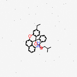 CCc1ccc2c(c1)Oc1ccc3cccc(NCCC(C)C)c3c1C21OC(=O)c2ccccc21